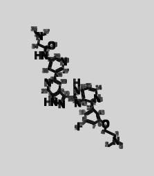 CN(C)CCOc1cc(F)cc(-c2nccc3[nH]c(-c4n[nH]c5cnc(-c6cncc(NC(=O)CN(C)C)c6)cc45)nc23)c1